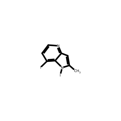 Cc1cc2nccc(I)c2n1I